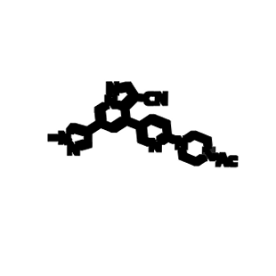 CC(=O)N1CCN(c2ccc(-c3cc(-c4cnn(C)c4)cn4ncc(C#N)c34)cn2)CC1